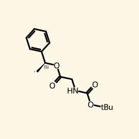 [CH2][C@H](OC(=O)CNC(=O)OC(C)(C)C)c1ccccc1